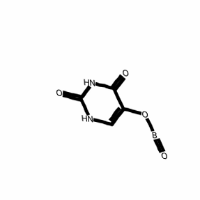 O=BOc1c[nH]c(=O)[nH]c1=O